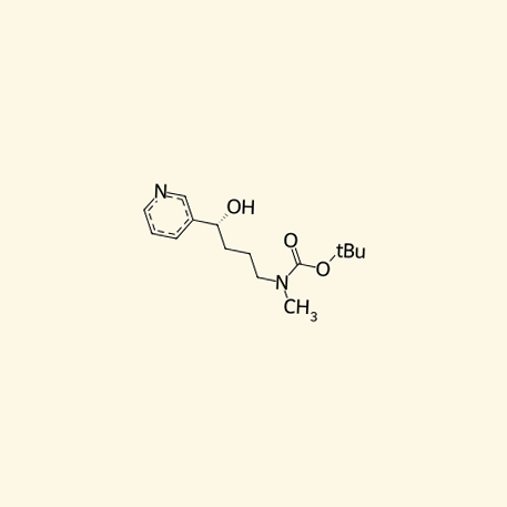 CN(CCC[C@@H](O)c1cccnc1)C(=O)OC(C)(C)C